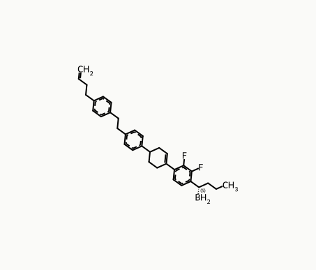 B[C@@H](CCC)c1ccc(C2=CCC(c3ccc(CCc4ccc(CCC=C)cc4)cc3)CC2)c(F)c1F